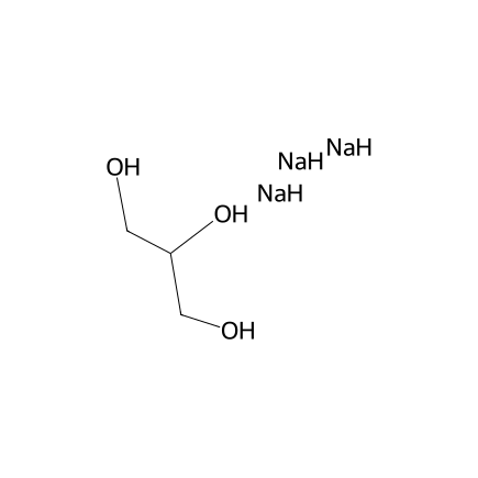 OCC(O)CO.[NaH].[NaH].[NaH]